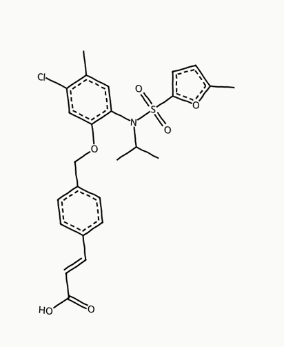 Cc1ccc(S(=O)(=O)N(c2cc(C)c(Cl)cc2OCc2ccc(/C=C/C(=O)O)cc2)C(C)C)o1